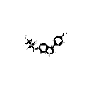 O=S(=O)(Oc1ccc2c(-c3ccc(F)cc3)csc2c1)C(F)(F)F